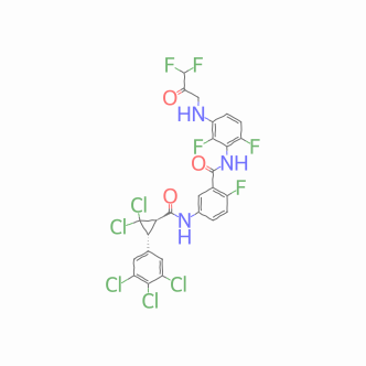 O=C(Nc1c(F)ccc(NCC(=O)C(F)F)c1F)c1cc(NC(=O)[C@H]2[C@H](c3cc(Cl)c(Cl)c(Cl)c3)C2(Cl)Cl)ccc1F